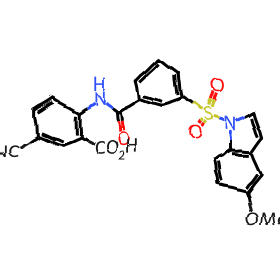 COc1ccc2c(ccn2S(=O)(=O)c2cccc(C(=O)Nc3ccc(C#N)cc3C(=O)O)c2)c1